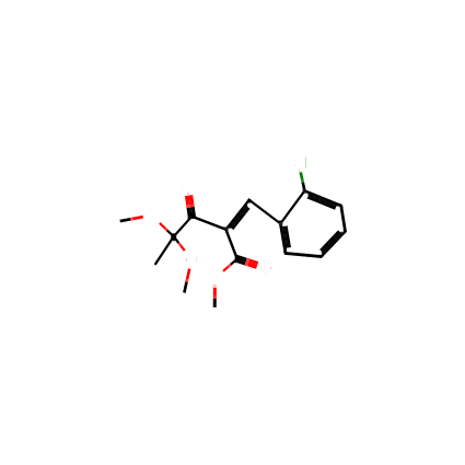 COC(=O)/C(=C\c1ccccc1Cl)C(=O)C(C)(OC)OC